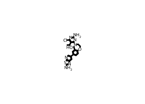 CC(O)c1c(Cl)nc(N)nc1N1CCOc2ccc(-c3cnc4sc(N)nc4c3)cc2C1